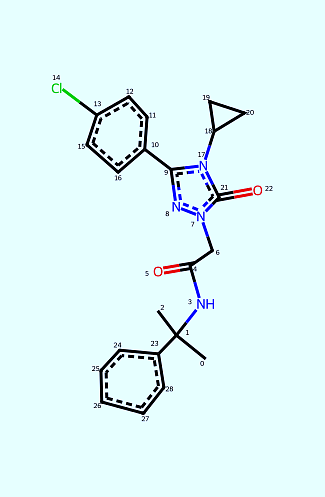 CC(C)(NC(=O)Cn1nc(-c2ccc(Cl)cc2)n(C2CC2)c1=O)c1ccccc1